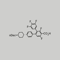 CCCCCCCCCC[C@H]1CC[C@H](c2ccc(-c3cc(F)c(C(=O)O)c(F)c3-c3cc(F)c(F)c(F)c3)cc2)CC1